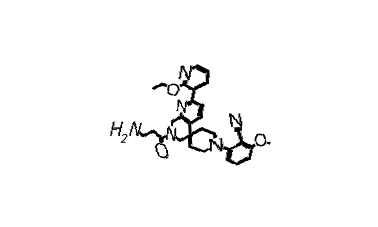 CCOc1ncccc1-c1ccc2c(n1)CN(C(=O)CCN)CC21CCN(c2cccc(OC)c2C#N)CC1